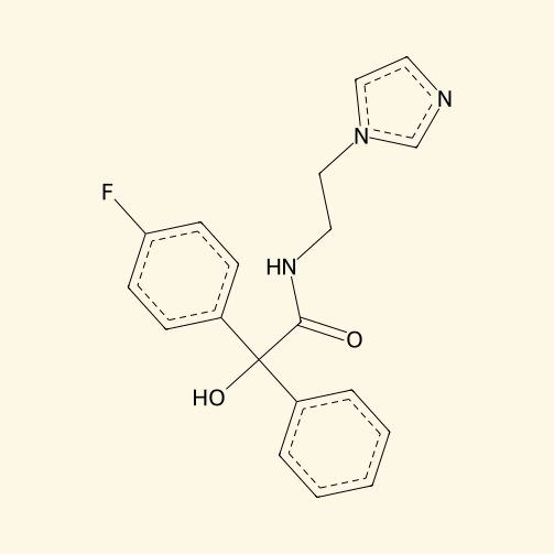 O=C(NCCn1ccnc1)C(O)(c1ccccc1)c1ccc(F)cc1